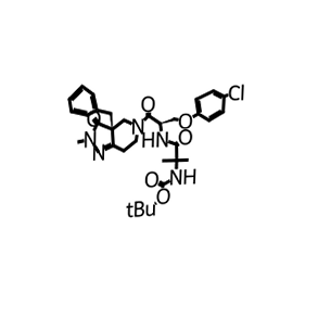 CN1N=C2CCN(C(=O)[C@@H](COc3ccc(Cl)cc3)NC(=O)C(C)(C)NC(=O)OC(C)(C)C)C[C@@]2(Cc2ccccc2)C1=O